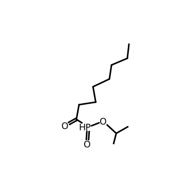 CCCCCCCC(=O)[PH](=O)OC(C)C